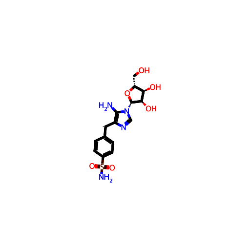 Nc1c([CH]c2ccc(S(N)(=O)=O)cc2)ncn1[C@@H]1O[C@H](CO)[C@@H](O)[C@H]1O